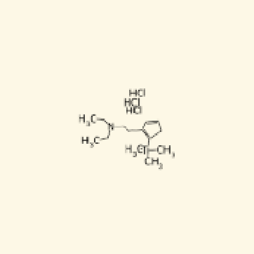 CCN(CC)CCC1=[C]([Ti]([CH3])([CH3])[CH3])CC=C1.Cl.Cl.Cl